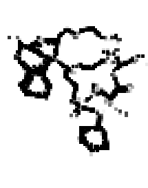 CCC[C@H](CCO[P@@](=O)(N[C@@H](C)C(=O)OC(C)C)Oc1ccncc1)n1c(COCC)nc2c(N)nc3ccccc3c21